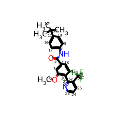 COc1cc(C(=O)Nc2ccc(C(C)(C)C)cc2)ccc1-c1ncccc1C(F)(F)F